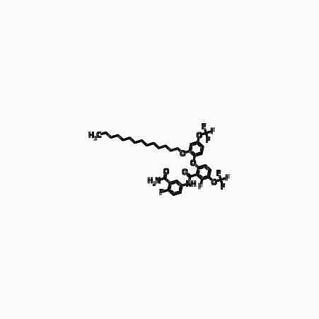 CCCCCCCCCCCCCCOc1cc(OC(F)(F)F)ccc1Oc1ccc(OC(F)(F)F)c(F)c1C(=O)Nc1ccc(F)c(C(N)=O)c1